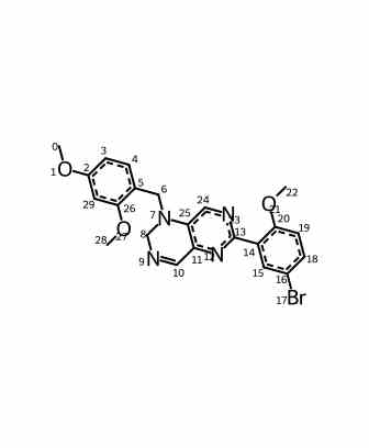 COc1ccc(CN2CN=Cc3nc(-c4cc(Br)ccc4OC)ncc32)c(OC)c1